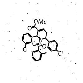 COC(=O)C1=CCC(c2ccc(Cl)cc2)N(S(=O)(=O)c2ccccc2C)C1c1cccc(Cl)c1